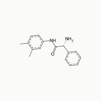 Cc1ccc(NC(=O)[C@H](N)c2ccccc2)cc1C